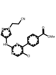 COC(=O)c1ccc(-c2nc(Nc3cnn(CCC#N)c3)ncc2Cl)cc1